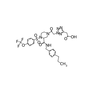 CCCc1ccc(CNC(=O)C2CN(C(=O)Cn3nnc(CC(=O)O)n3)CCN2S(=O)(=O)c2ccc(OC(F)(F)F)cc2)cc1